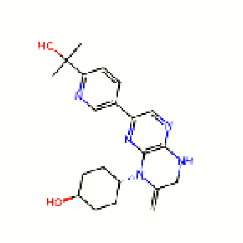 C=C1CNc2ncc(-c3ccc(C(C)(C)O)nc3)nc2N1[C@H]1CC[C@H](O)CC1